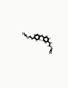 N#CSCCc1ccc(Cc2ccc(CCSC#N)cc2)cc1